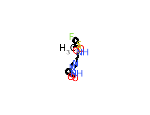 Cc1c(S(=O)(=O)NCCCCN2CCN(c3cccc4oc(=O)[nH]c34)CC2)sc2ccc(F)cc12